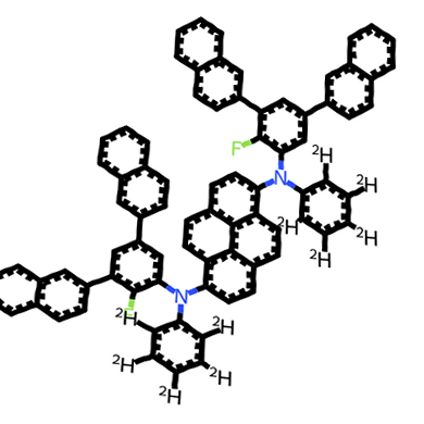 [2H]c1c([2H])c([2H])c(N(c2cc(-c3ccc4ccccc4c3)cc(-c3ccc4ccccc4c3)c2F)c2ccc3ccc4c(N(c5cc(-c6ccc7ccccc7c6)cc(-c6ccc7ccccc7c6)c5F)c5c([2H])c([2H])c([2H])c([2H])c5[2H])ccc5ccc2c3c54)c([2H])c1[2H]